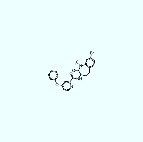 CN1C(=O)C(NC(=O)c2cc(Oc3ccccc3)ccn2)CCc2ccc(Br)cc21